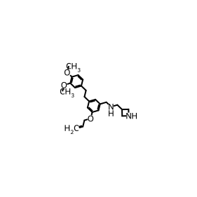 C=CCOc1cc(CCc2ccc(OC)c(OC)c2)cc(CNCC2CNC2)c1